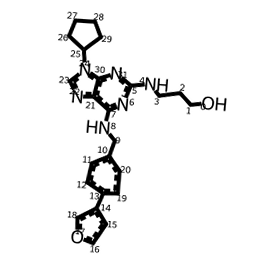 OCCCNc1nc(NCc2ccc(-c3ccoc3)cc2)c2ncn(C3CCCC3)c2n1